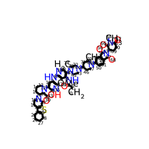 C=CC(=O)Nc1cc(Nc2cc(N3CCCC(N4CCc5c(sc6c5CCCC6)C4=O)C3CO)cnc2OC)ncc1N1CCN(C2CCN(c3ccc4c(c3)C(=O)N(C3CCC(=O)N(C)C3=O)C4=O)[C@H](C)C2)C[C@@H]1C